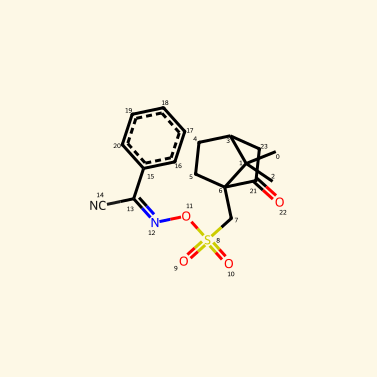 CC1(C)C2CCC1(CS(=O)(=O)ON=C(C#N)c1ccccc1)C(=O)C2